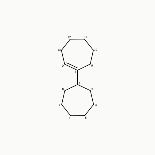 [C]1=C(C2CCCCCC2)CCCCC1